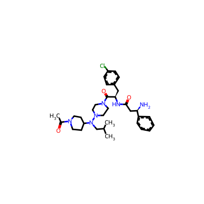 CC(=O)N1CCC(N(CC(C)C)N2CCN(C(=O)[C@@H](Cc3ccc(Cl)cc3)NC(=O)C[C@@H](N)c3ccccc3)CC2)CC1